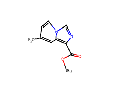 CC(C)(C)OC(=O)c1ncn2ccc(C(F)(F)F)cc12